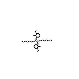 CCCCCCC[CH2][Sn]([CH2]CCCCCCC)([O]c1cccc(CC)c1C)[O]c1cccc(CC)c1C